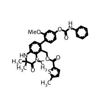 COc1cc(OC(=O)Nc2ccccc2)ccc1-c1ccc2c(c1COC(=O)c1ccc(C)s1)N(C)C(=O)C(C)(C)N2